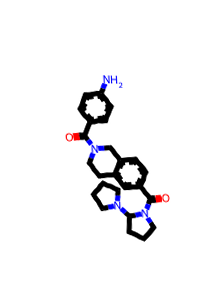 Nc1ccc(C(=O)N2CCc3cc(C(=O)N4CCCC4N4CCCC4)ccc3C2)cc1